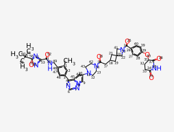 Cc1cc(-c2ncnn3cc(N4CCN(C(=O)CC5CC6(C5)CN(C(=O)c5ccc(OC7CCC(=O)NC7=O)cc5)C6)CC4)cc23)ccc1CNC(=O)c1noc(C(C)(C)C)n1